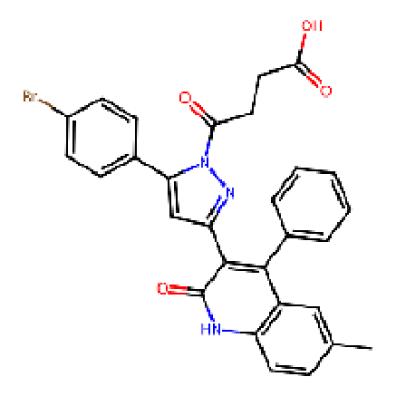 Cc1ccc2[nH]c(=O)c(-c3cc(-c4ccc(Br)cc4)n(C(=O)CCC(=O)O)n3)c(-c3ccccc3)c2c1